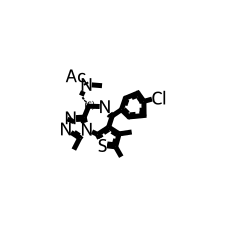 CC(=O)N(C)C[C@@H]1N=C(c2ccc(Cl)cc2)c2c(sc(C)c2C)-n2c(C)nnc21